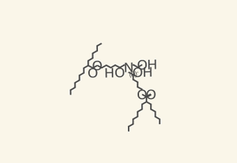 CCCCCCCCC(CCCCCC)C(=O)OCCCCC(O)CN(CCO)C[C@H](O)CCCCOC(=O)C(CCCCCC)CCCCCCCC